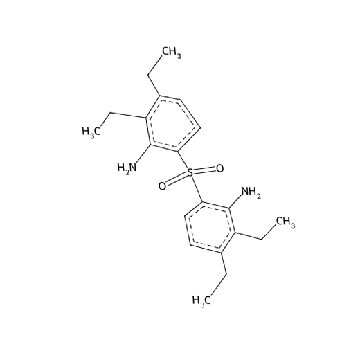 CCc1ccc(S(=O)(=O)c2ccc(CC)c(CC)c2N)c(N)c1CC